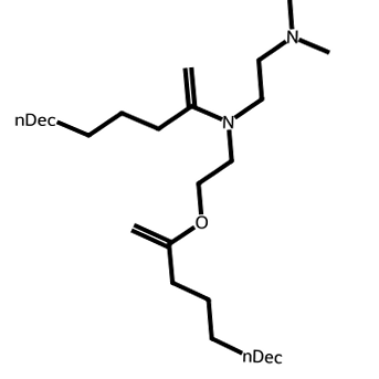 C=C(CCCCCCCCCCCCC)OCCN(CCN(C)C)C(=C)CCCCCCCCCCCCC